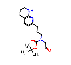 CC(C)(C)OC(=O)N(CC=O)CCCc1ccc2c(n1)NCCC2